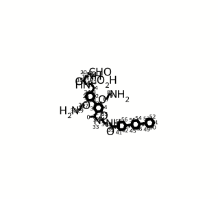 CC(c1ccc(OCCN)c(-c2cc(CC(NC(=O)[C@H](C)NC=O)C(=O)O)ccc2OCCN)c1)N(C)C(=O)CNC(=O)c1ccc(-c2ccc(-c3ccccc3)cc2)cc1